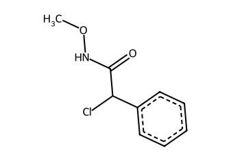 CONC(=O)C(Cl)c1ccccc1